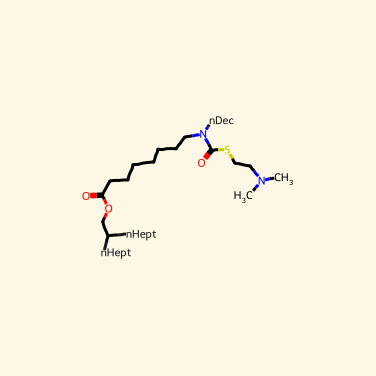 CCCCCCCCCCN(CCCCCCCC(=O)OCC(CCCCCCC)CCCCCCC)C(=O)SCCN(C)C